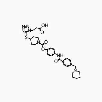 O=C(O)CCn1nnnc1SC1CCN(C(=O)Oc2ccc(NC(=O)c3ccc(CN4CCCCC4)cc3)cc2)CC1